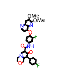 COc1cc2nccc(Oc3ccc(NC(=O)c4cn5c(c(-c6ccc(F)cc6)c4=O)COCC5)cc3F)c2nc1OC